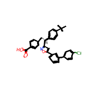 CC(C)(C)c1ccc([C@@H](Cc2ccc(C(=O)O)cc2)c2cc(-c3cccc(-c4ccc(Cl)cc4)c3)on2)cc1